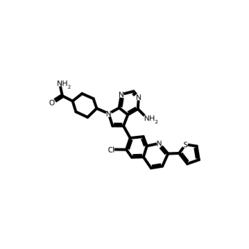 NC(=O)C1CCC(n2cc(-c3cc4nc(-c5cccs5)ccc4cc3Cl)c3c(N)ncnc32)CC1